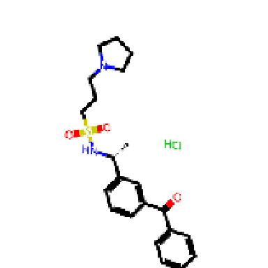 C[C@@H](NS(=O)(=O)CCCN1CCCC1)c1cccc(C(=O)c2ccccc2)c1.Cl